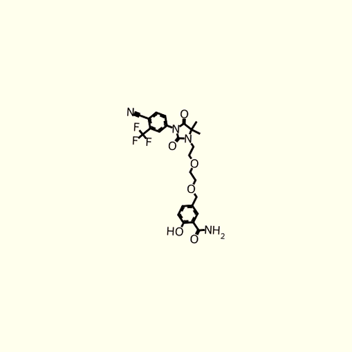 CC1(C)C(=O)N(c2ccc(C#N)c(C(F)(F)F)c2)C(=O)N1CCOCCOCc1ccc(O)c(C(N)=O)c1